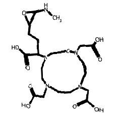 CNC1OC1CCC(C(=O)O)N1CCN(CC(=O)O)CCN(CC(=O)O)CCN(CC(=O)O)CC1